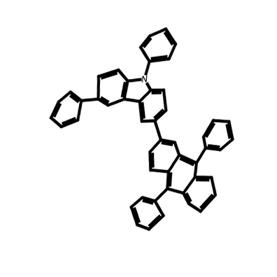 c1ccc(-c2ccc3c(c2)c2cc(-c4ccc5c(-c6ccccc6)c6ccccc6c(-c6ccccc6)c5c4)ccc2n3-c2ccccc2)cc1